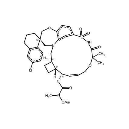 CON(C)C(=O)O[C@H]1C=CCOC(C)(C)C(=O)NS(=O)(=O)c2ccc3c(c2)N(C[C@@H]2CC[C@H]21)C[C@@]1(CCCc2cc(Cl)ccc21)CO3